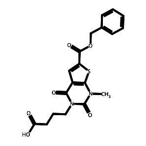 Cn1c(=O)n(CCCC(=O)O)c(=O)c2cc(C(=O)OCc3ccccc3)sc21